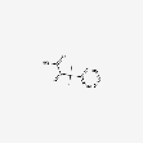 C=C(C(=O)O)C(C)(C)c1ccccc1